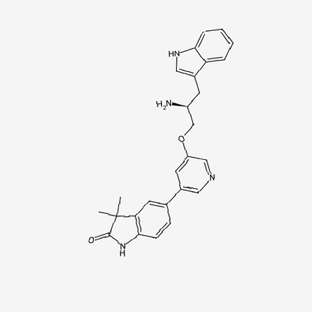 CC1(C)C(=O)Nc2ccc(-c3cncc(OC[C@@H](N)Cc4c[nH]c5ccccc45)c3)cc21